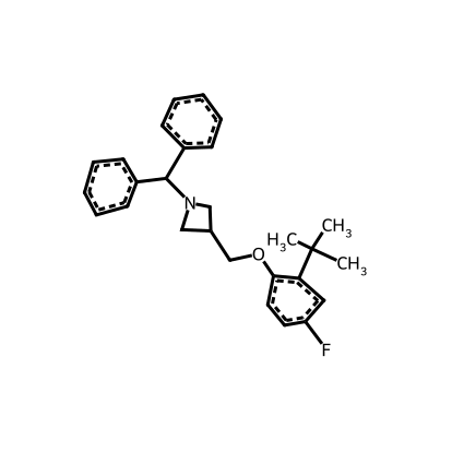 CC(C)(C)c1cc(F)ccc1OCC1CN(C(c2ccccc2)c2ccccc2)C1